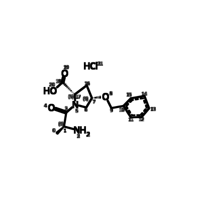 C[C@H](N)C(=O)N1C[C@@H](OCc2ccccc2)C[C@H]1C(=O)O.Cl